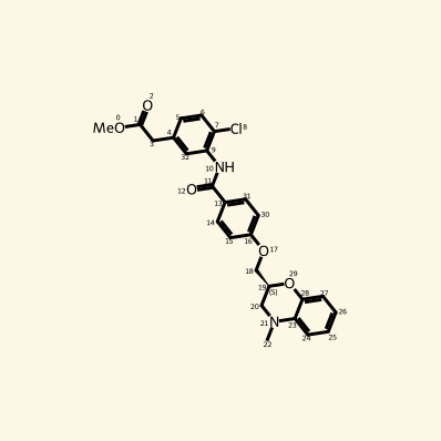 COC(=O)Cc1ccc(Cl)c(NC(=O)c2ccc(OC[C@@H]3CN(C)c4ccccc4O3)cc2)c1